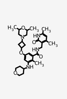 Cc1cc(C)c(CNC(=O)c2cc(OC3CC(N4CC(C)OC(C)C4)C3)cc(NC3CCOCC3)c2C)c(=O)[nH]1